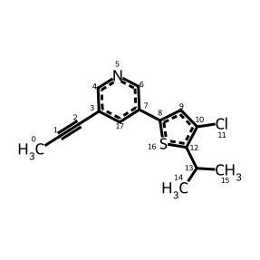 CC#Cc1cncc(-c2cc(Cl)c(C(C)C)s2)c1